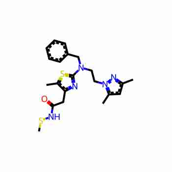 CSNC(=O)Cc1nc(N(CCn2nc(C)cc2C)Cc2ccccc2)sc1C